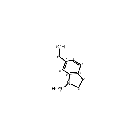 O=C(O)N1CCc2ccc(CO)cc21